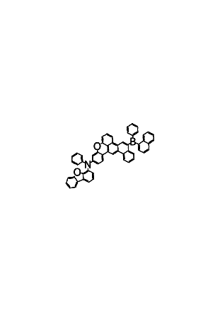 c1ccc(B(c2cccc3ccccc23)c2cc3c4cccc5c4c(cc3c3ccccc23)-c2ccc(N(c3ccccc3)c3cccc4c3oc3ccccc34)cc2O5)cc1